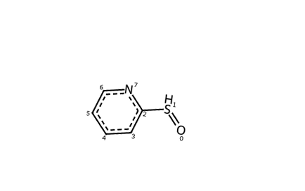 O=[SH]c1ccccn1